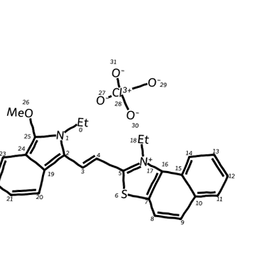 CCn1c(/C=C/c2sc3ccc4ccccc4c3[n+]2CC)c2ccccc2c1OC.[O-][Cl+3]([O-])([O-])[O-]